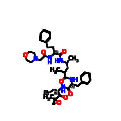 CC(C)C[C@H](NC(=O)[C@H](Cc1ccccc1)NC(=O)C(C)CC(C)NC(=O)[C@H](CCc1ccccc1)NC(=O)CN1CCOCC1)C(=O)[C@@]1(C)CO1